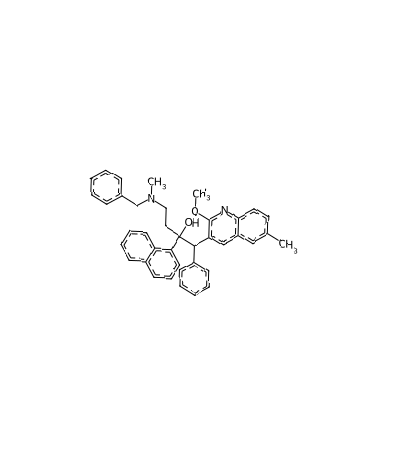 COc1nc2ccc(C)cc2cc1C(c1ccccc1)C(O)(CCN(C)Cc1ccccc1)c1cccc2ccccc12